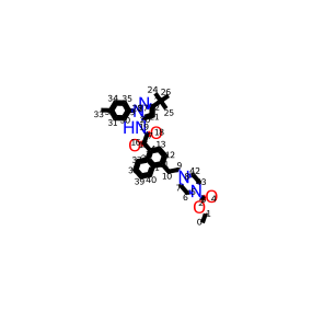 CCOC(=O)N1CCN(CCc2ccc(C(=O)C(=O)Nc3cc(C(C)(C)C)nn3-c3ccc(C)cc3)c3ccccc23)CC1